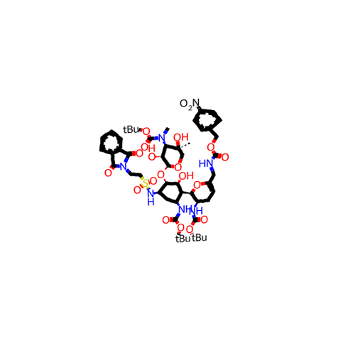 CN(C(=O)OC(C)(C)C)[C@@H]1[C@@H](O)[C@@H](O[C@H]2[C@H](NS(=O)(=O)CCN3C(=O)c4ccccc4C3=O)C[C@H](NC(=O)OC(C)(C)C)C([C@H]3OC(CNC(=O)OCc4ccc([N+](=O)[O-])cc4)=CC[C@H]3NC(=O)OC(C)(C)C)[C@@H]2O)OC[C@]1(C)O